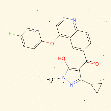 Cn1nc(C2CC2)c(C(=O)c2ccc3nccc(Oc4ccc(F)cc4)c3c2)c1O